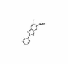 CCCCCCCCc1cc2sc(-c3ccccc3)nc2cc1I